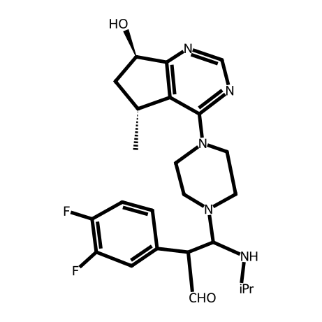 CC(C)NC(C(C=O)c1ccc(F)c(F)c1)N1CCN(c2ncnc3c2[C@H](C)C[C@H]3O)CC1